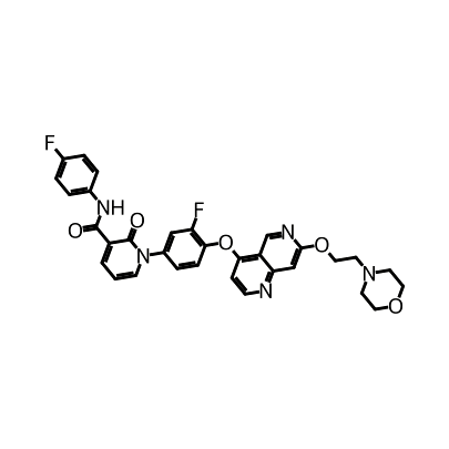 O=C(Nc1ccc(F)cc1)c1cccn(-c2ccc(Oc3ccnc4cc(OCCN5CCOCC5)ncc34)c(F)c2)c1=O